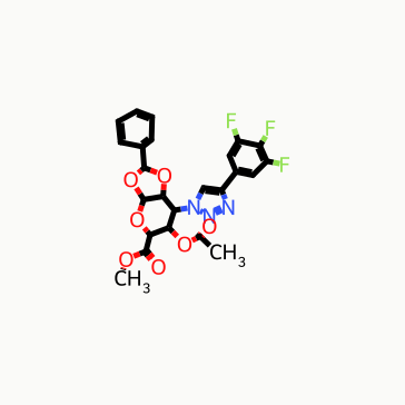 COC(=O)C1OC2OC(c3ccccc3)OC2C(n2cc(-c3cc(F)c(F)c(F)c3)nn2)C1OC(C)=O